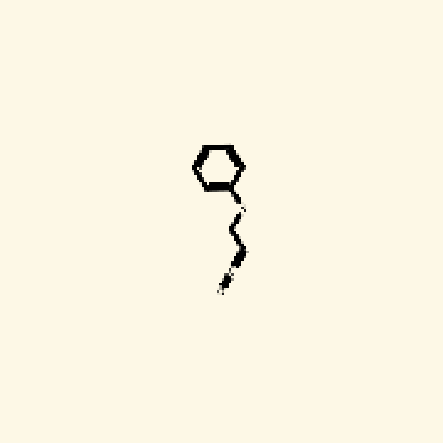 O=C=CC[N]c1ccccc1